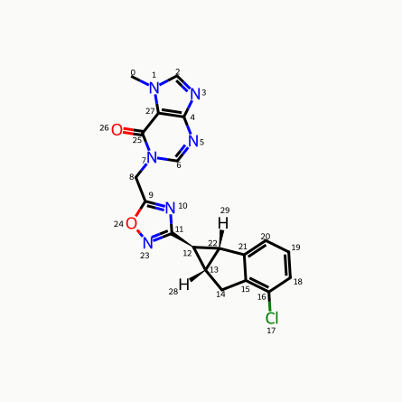 Cn1cnc2ncn(Cc3nc([C@@H]4[C@H]5Cc6c(Cl)cccc6[C@H]54)no3)c(=O)c21